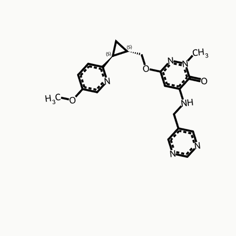 COc1ccc([C@H]2C[C@@H]2COc2cc(NCc3cncnc3)c(=O)n(C)n2)nc1